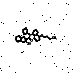 CCCCOc1cccc2c(N(C(=O)c3cc4ccccc4cc3O)c3ccccc3)cccc12